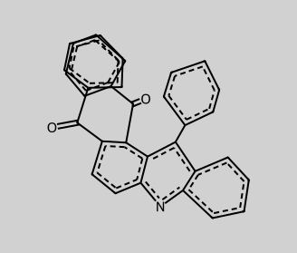 O=C(c1ccccc1)c1ccc2nc3ccccc3c(-c3ccccc3)c2c1C(=O)c1ccccc1